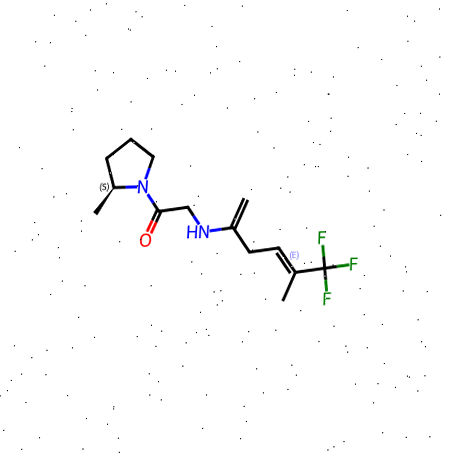 C=C(C/C=C(\C)C(F)(F)F)NCC(=O)N1CCC[C@@H]1C